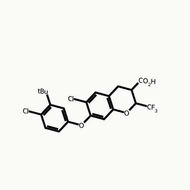 CC(C)(C)c1cc(Oc2cc3c(cc2Cl)CC(C(=O)O)C(C(F)(F)F)O3)ccc1Cl